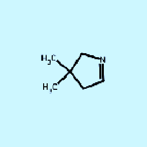 CC1(C)CC=NC1